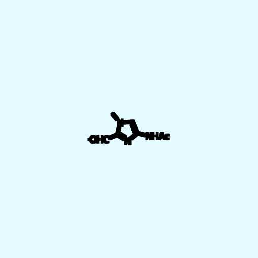 CC(=O)Nc1cn(C)c([C]=O)n1